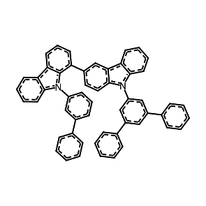 c1ccc(-c2cc(-c3ccccc3)cc(-n3c4ccccc4c4cc(-c5cccc6c7ccccc7n(-c7cccc(-c8ccccc8)c7)c56)ccc43)c2)cc1